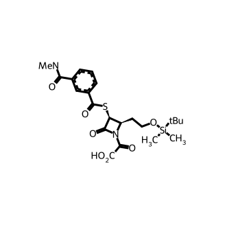 CNC(=O)c1cccc(C(=O)S[C@@H]2C(=O)N(C(=O)C(=O)O)[C@@H]2CCO[Si](C)(C)C(C)(C)C)c1